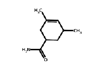 CC1=CC(C)CC(C(N)=O)C1